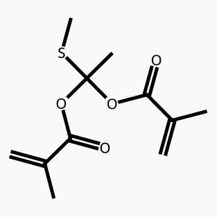 C=C(C)C(=O)OC(C)(OC(=O)C(=C)C)SC